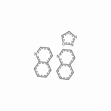 c1ccc2ncccc2c1.c1ccc2ncccc2c1.c1conn1